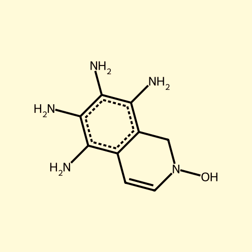 Nc1c(N)c(N)c2c(c1N)C=CN(O)C2